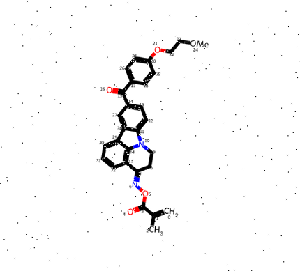 C=C(C)C(=O)O/N=C1\CCn2c3ccc(C(=O)c4ccc(OCCOC)cc4)cc3c3cccc1c32